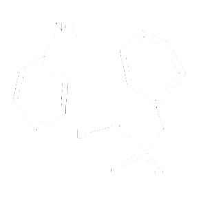 CCOS(=O)(=O)Cc1ccccc1.O=[N+]([O-])c1ccccc1